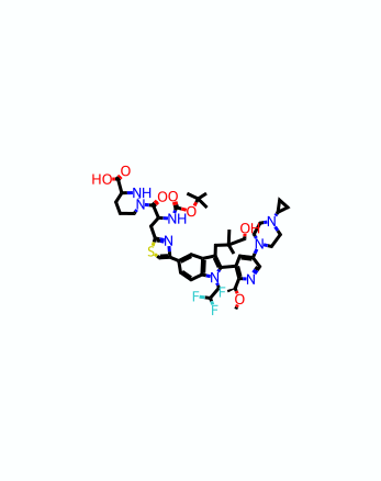 CO[C@@H](C)c1ncc(N2CCN(C3CC3)CC2)cc1-c1c(CC(C)(C)CO)c2cc(-c3csc(CC(NC(=O)OC(C)(C)C)C(=O)N4CCCC(C(=O)O)N4)n3)ccc2n1C(F)C(F)F